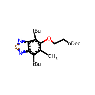 CCCCCCCCCCCCOc1c(C)c(C(C)(C)C)c2nsnc2c1C(C)(C)C